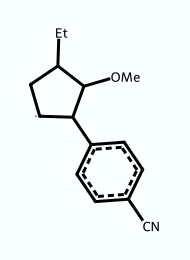 [CH2]CC1C[CH]C(c2ccc(C#N)cc2)C1OC